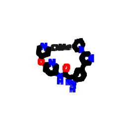 COc1cc(Oc2ccc(NC(=O)c3n[nH]c4ccc(-c5cncc(N6CCCCC6)c5)cc34)cn2)ccn1